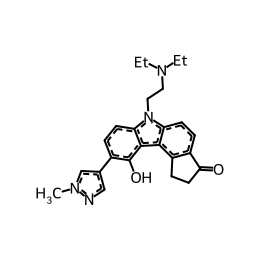 CCN(CC)CCn1c2ccc(-c3cnn(C)c3)c(O)c2c2c3c(ccc21)C(=O)CC3